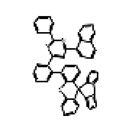 c1ccc(-c2nc(-c3ccccc3-c3cccc4c3Sc3ccccc3C43c4ccccc4-c4ccccc43)cc(-c3cccc4ccccc34)n2)cc1